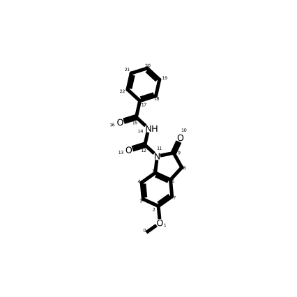 COc1ccc2c(c1)CC(=O)N2C(=O)NC(=O)c1ccccc1